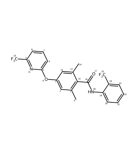 Cc1cc(Oc2cccc(C(F)(F)F)n2)cc(C)c1C(=O)Nc1ccccc1C(F)(F)F